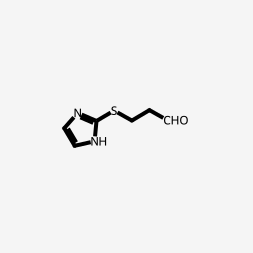 O=CCCSc1ncc[nH]1